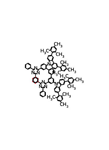 Cc1cc(C)c(-c2ccc3c(c2)c2cc(-c4c(C)cc(C)cc4C)ccc2n3-c2cc(-c3cccc(-c4cc(-c5nc(-c6ccccc6)nc(-c6ccccc6)n5)ccc4-n4c5ccc(-c6c(C)cc(C)cc6C)cc5c5cc(-c6c(C)cc(C)cc6C)ccc54)c3)cc(-c3nc(-c4ccccc4)nc(-c4ccccc4)n3)c2)c(C)c1